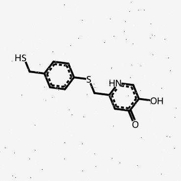 O=c1cc(CSc2ccc(CS)cc2)[nH]cc1O